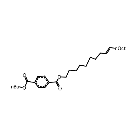 CCCCCCCCC=CCCCCCCCCOC(=O)c1ccc(C(=O)OCCCC)cc1